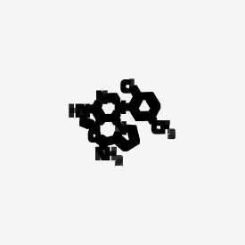 NC(=O)c1cccn1C1c2nc[nH]c2N=CN1c1cc(C(F)(F)F)ccc1Cl